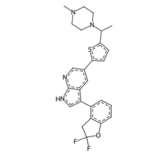 CC(c1ccc(-c2cnc3[nH]cc(-c4cccc5c4CC(F)(F)O5)c3c2)s1)N1CCN(C)CC1